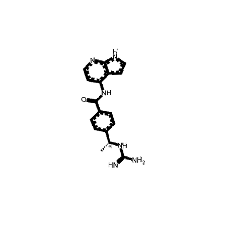 C[C@@H](NC(=N)N)c1ccc(C(=O)Nc2ccnc3[nH]ccc23)cc1